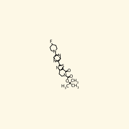 CC(C)(C)OC(=O)N1CCc2nc(-c3cnc(N4CCC(F)CC4)cn3)sc2C1=O